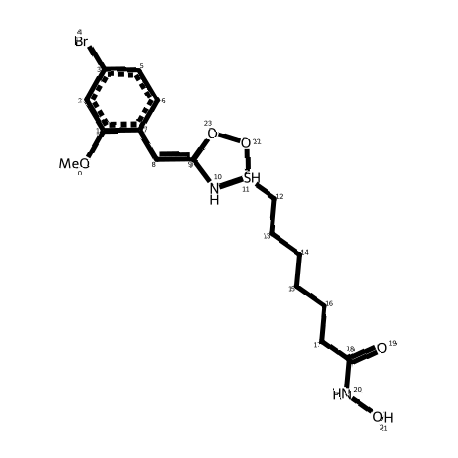 COc1cc(Br)ccc1/C=C1/N[SH](CCCCCCC(=O)NO)OO1